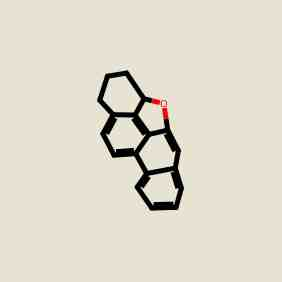 c1ccc2c(c1)cc1c3c4c(ccc32)CCCC4O1